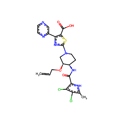 C=CCO[C@H]1CN(c2nc(-c3cnccn3)c(C(=O)O)s2)CC[C@H]1NC(=O)c1[nH]c(C)c(Cl)c1Cl